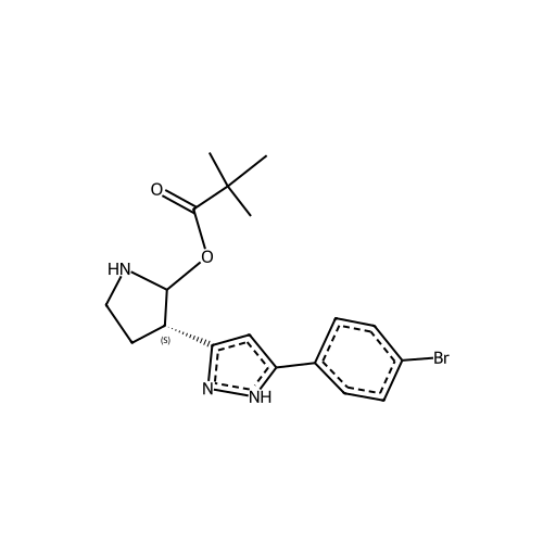 CC(C)(C)C(=O)OC1NCC[C@H]1c1cc(-c2ccc(Br)cc2)[nH]n1